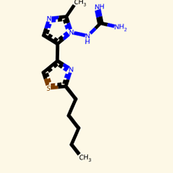 CCCCCc1nc(-c2cnc(C)n2NC(=N)N)cs1